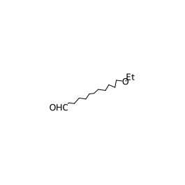 CCOCCCCCCCCCCCC=O